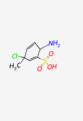 CC1(Cl)C=CC(N)C(S(=O)(=O)O)=C1